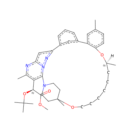 COC(=O)[C@@H](OC(C)(C)C)c1c(C)nc2cc3nn2c1N1CCC(C)(CC1)OCCCCCC[C@H](C)Oc1ccc(C)cc1-c1cccc-3c1